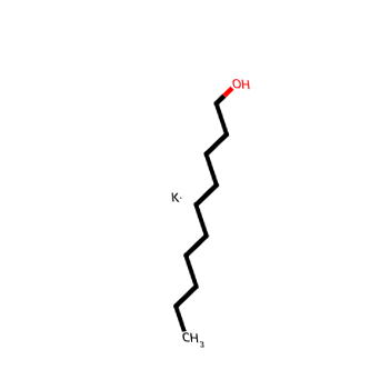 CCCCCCCCCCO.[K]